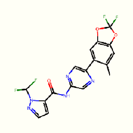 Cc1cc2c(cc1-c1cnc(NC(=O)c3ccnn3C(F)F)cn1)OC(F)(F)O2